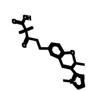 CC1Oc2ccc(CCC(=O)C(C)(C)C(=O)O)cc2C=C1c1nccn1C